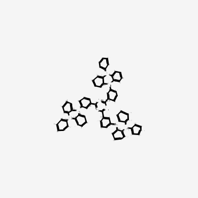 c1ccc(N2c3ccccc3N(c3cccc(-c4nc(-c5cccc(N6c7ccccc7N(c7ccccc7)c7ccccc76)c5)nc(-c5cccc(N6c7ccccc7N(c7ccccc7)c7ccccc76)c5)n4)c3)c3ccccc32)cc1